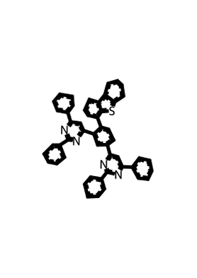 c1ccc(-c2cc(-c3ccc(-c4cccc5c4sc4ccccc45)c(-c4cc(-c5ccccc5)nc(-c5ccccc5)n4)c3)nc(-c3ccccc3)n2)cc1